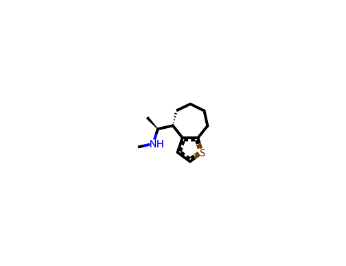 CN[C@@H](C)[C@@H]1CCCCc2sccc21